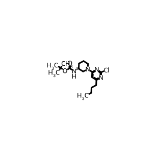 CCCCc1cc(N2CCC[C@@H](NC(=O)OC(C)(C)C)C2)nc(Cl)n1